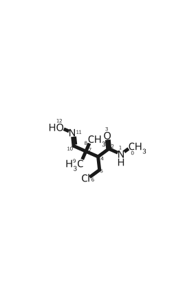 CNC(=O)C(CCl)C(C)(C)C=NO